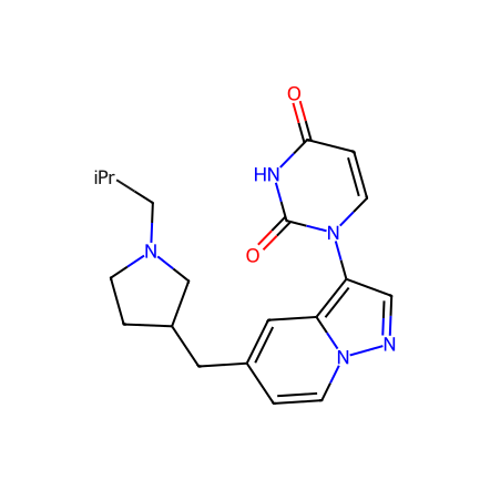 CC(C)CN1CCC(Cc2ccn3ncc(-n4ccc(=O)[nH]c4=O)c3c2)C1